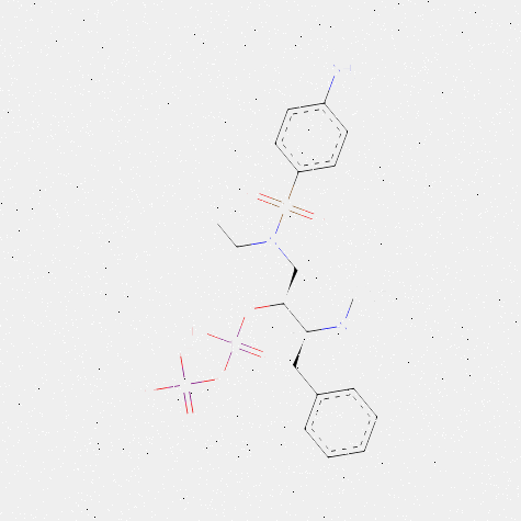 CC(C)CN(C[C@H](OP(=O)(O)OP(=O)(O)O)[C@H](Cc1ccccc1)NC(=O)O)S(=O)(=O)c1ccc(N)cc1